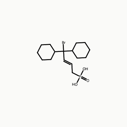 O=P(O)(O)CC=CC(Br)(C1CCCCC1)C1CCCCC1